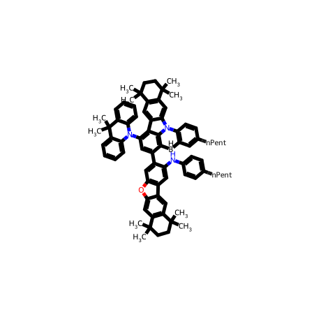 CCCCCc1ccc(Nc2cc3c(cc2-c2cc(N4c5ccccc5C(C)(C)c5ccccc54)c4c5cc6c(cc5n5c4c2Bc2cc(CCCCC)ccc2-5)C(C)(C)CCC6(C)C)oc2cc4c(cc23)C(C)(C)CCC4(C)C)cc1